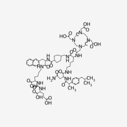 CC(C)Cc1ccc(C(C)C(=O)NC(CC(N)=O)C(=O)NCCCCC(NC(=O)CN2CCN(CC(=O)O)CCN(CC(=O)O)CCN(CC(=O)O)CC2)C(=O)NCC2CCC(C(=O)NC(Cc3ccc4ccccc4c3)C(=O)NCCCCC(NC(=O)NC(CCC(=O)O)C(=O)O)C(=O)O)CC2)cc1